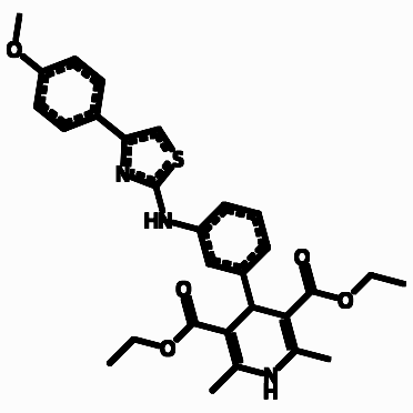 CCOC(=O)C1=C(C)NC(C)=C(C(=O)OCC)C1c1cccc(Nc2nc(-c3ccc(OC)cc3)cs2)c1